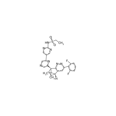 CCS(=O)(=O)Nc1ncc(-c2cncc([C@@]34CC[C@@H](c5cc(-c6c(F)cccc6F)nnc53)C4(C)C)n2)cn1